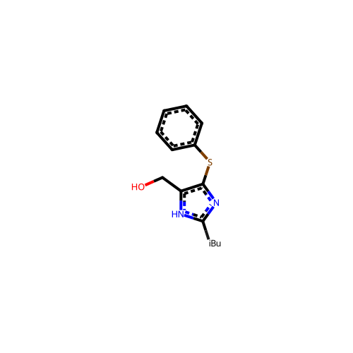 CCC(C)c1nc(Sc2ccccc2)c(CO)[nH]1